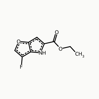 CCOC(=O)c1cc2occ(F)c2[nH]1